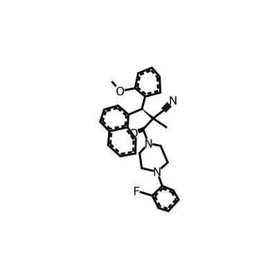 COc1ccccc1[C@H](c1cccc2ccccc12)C(C)(C#N)C(=O)N1CCN(c2ccccc2F)CC1